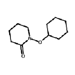 O=C1CCCCN1OC1CCCCC1